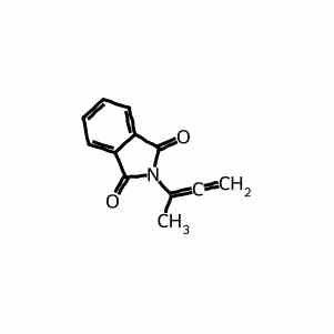 C=C=C(C)N1C(=O)c2ccccc2C1=O